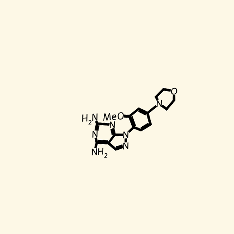 COc1cc(N2CCOCC2)ccc1-n1ncc2c(N)nc(N)nc21